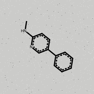 CNc1ccc(-c2c[c]ccc2)cn1